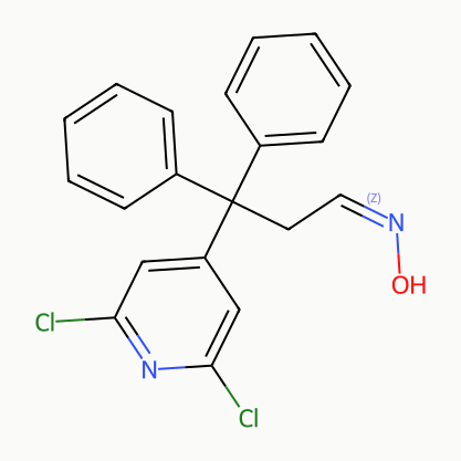 O/N=C\CC(c1ccccc1)(c1ccccc1)c1cc(Cl)nc(Cl)c1